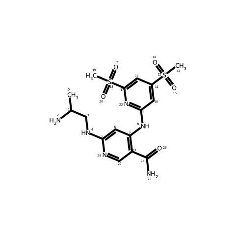 CC(N)CNc1cc(Nc2cc(S(C)(=O)=O)cc(S(C)(=O)=O)n2)c(C(N)=O)cn1